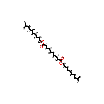 CC(C)CCCCCCCCOC(=O)CCCCCCCCC(=O)OCCCCCCCCC(C)C